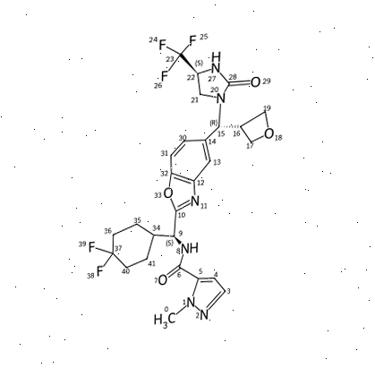 Cn1nccc1C(=O)N[C@H](c1nc2cc([C@@H](C3COC3)N3C[C@@H](C(F)(F)F)NC3=O)ccc2o1)C1CCC(F)(F)CC1